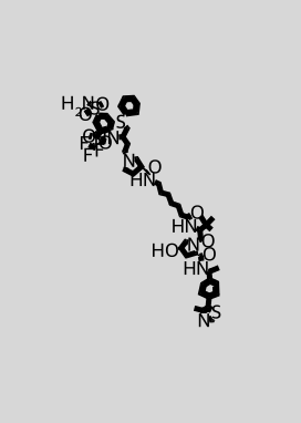 Cc1ncsc1-c1ccc(C(C)NC(=O)[C@@H]2C[C@@H](O)CN2C(=O)C(NC(=O)CCCCCCNC(=O)[C@H]2CCN(CCC(CSc3ccccc3)Nc3ccc(S(N)(=O)=O)cc3S(=O)(=O)C(F)(F)F)C2)C(C)(C)C)cc1